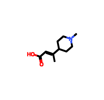 C/C(=C\C(=O)O)C1CCN(C)CC1